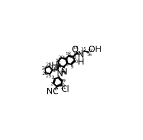 [C-]#[N+]c1ccc(N2N=C3c4ccc(C(=O)NCCO)cc4CC[C@@H]3[C@@H]2C2CCCC2)cc1Cl